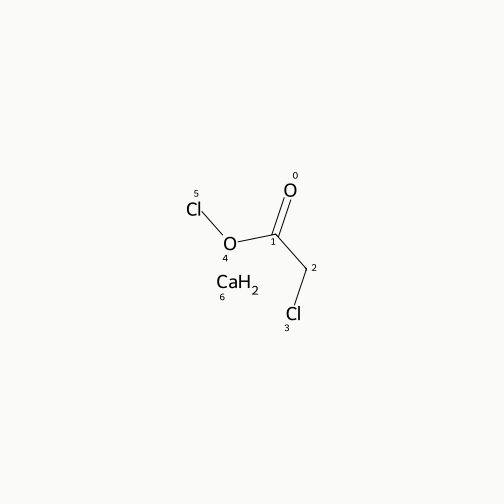 O=C(CCl)OCl.[CaH2]